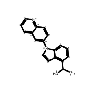 CC(O)c1cccc2c1ccn2-c1ccc2ncccc2c1